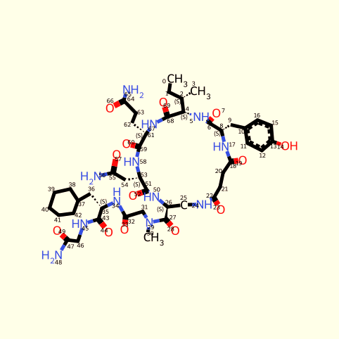 CC[C@H](C)[C@@H]1NC(=O)[C@H](Cc2ccc(O)cc2)NC(=O)CCC(=O)NC[C@@H](C(=O)N(C)CC(=O)N[C@@H](CC2CCCCC2)C(=O)NCC(N)=O)NC(=O)[C@H](CC(N)=O)NC(=O)[C@H](CCC(N)=O)NC1=O